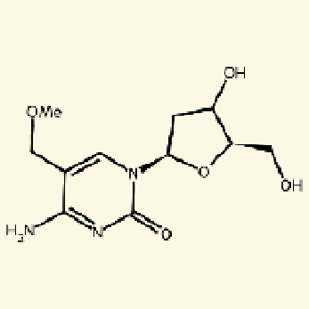 COCc1cn([C@H]2CC(O)[C@@H](CO)O2)c(=O)nc1N